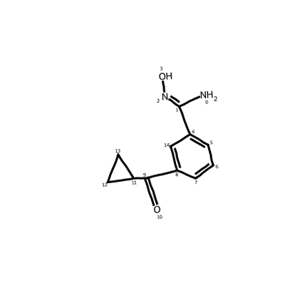 N/C(=N\O)c1cccc(C(=O)C2CC2)c1